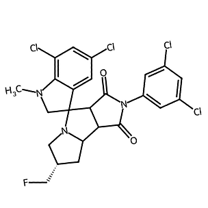 CN1CC2(c3cc(Cl)cc(Cl)c31)C1C(=O)N(c3cc(Cl)cc(Cl)c3)C(=O)C1C1C[C@H](CF)CN12